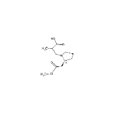 COC(=O)C[C@@H]1CCCN1CC(C)C(=O)O